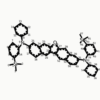 C[Si](C)(C)c1cccc(N(c2ccccc2)c2ccc3cc4c(cc3c2)oc2cc3cc(N(c5ccccc5)c5cccc([Si](C)(C)C)c5)ccc3cc24)c1